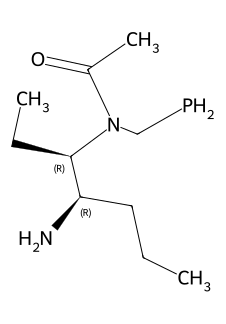 CCC[C@@H](N)[C@@H](CC)N(CP)C(C)=O